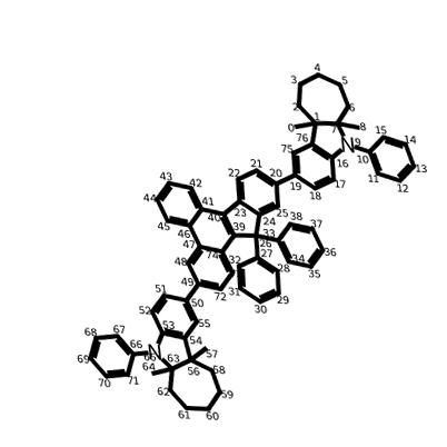 CC12CCCCCC1(C)N(c1ccccc1)c1ccc(-c3ccc4c(c3)C(c3ccccc3)(c3ccccc3)c3c-4c4ccccc4c4cc(-c5ccc6c(c5)C5(C)CCCCCC5(C)N6c5ccccc5)ccc34)cc12